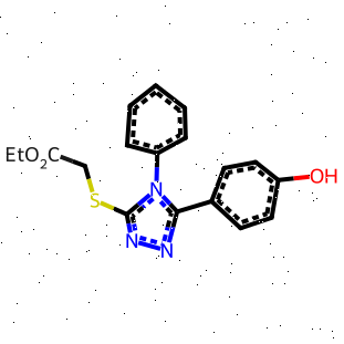 CCOC(=O)CSc1nnc(-c2ccc(O)cc2)n1-c1ccccc1